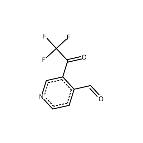 O=Cc1ccncc1C(=O)C(F)(F)F